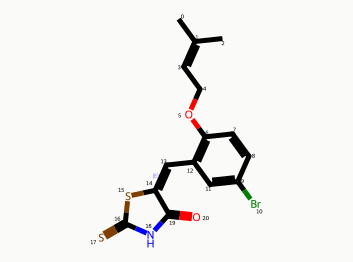 CC(C)=CCOc1ccc(Br)cc1/C=C1/SC(=S)NC1=O